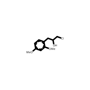 COc1ccc(CC(O)CCl)c(OC)c1